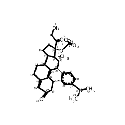 CC(=O)O[C@]1(C(=O)CO)CCC2C3CCC4=CC(=O)CCC4=C3[C@@H](c3ccc(N(C)C)cc3)C[C@@]21C